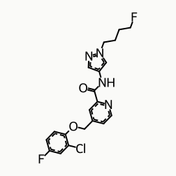 O=C(Nc1cnn(CCCCF)c1)c1cc(COc2ccc(F)cc2Cl)ccn1